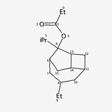 CCC(=O)OC1(C(C)C)C2CC(CC)CC3CC1C3C2